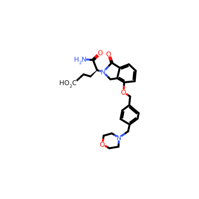 NC(=O)[C@H](CCC(=O)O)N1Cc2c(OCc3ccc(CN4CCOCC4)cc3)cccc2C1=O